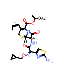 C/C=C\C1=C(C(=O)OC(C)OC(C)=O)N2C(=O)[C@@H](NC(=O)/C(=N\OCC3CC3)c3csc(N)n3)[C@@H]2SC1